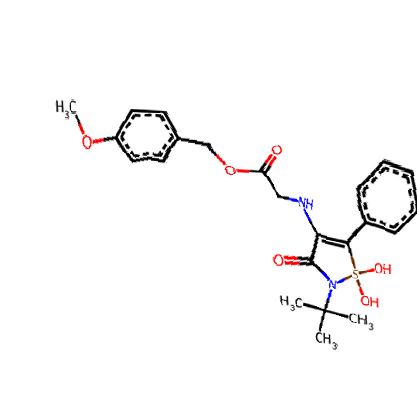 COc1ccc(COC(=O)CNC2=C(c3ccccc3)S(O)(O)N(C(C)(C)C)C2=O)cc1